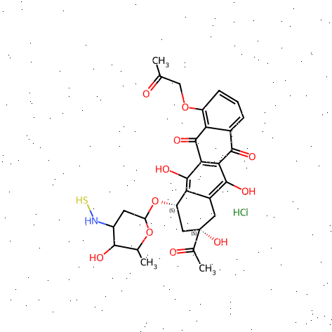 CC(=O)COc1cccc2c1C(=O)c1c(O)c3c(c(O)c1C2=O)C[C@@](O)(C(C)=O)C[C@@H]3OC1CC(NS)C(O)C(C)O1.Cl